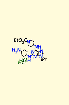 CCOC(=O)N1CCC(Nc2nc(N[C@H]3CC[C@H](N)CC3)nc3c2ncn3C(C)C)CC1.Cl.Cl